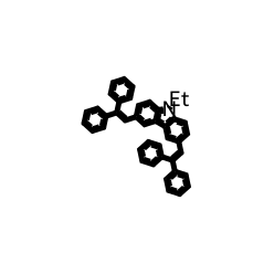 CCn1c2ccc(C=C(c3ccccc3)c3ccccc3)cc2c2cc(C=C(c3ccccc3)c3ccccc3)ccc21